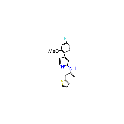 C=C(Cc1cccs1)Nc1cc(-c2ccc(F)cc2OC)ccn1